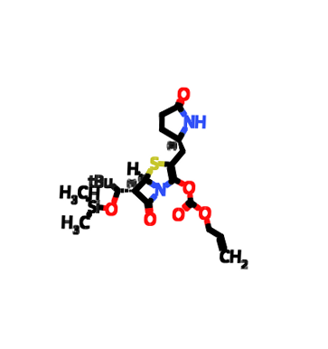 C=CCOC(=O)OC1=C(C[C@H]2CCC(=O)N2)S[C@@H]2[C@@H](C(O[SiH](C)C)C(C)(C)C)C(=O)N12